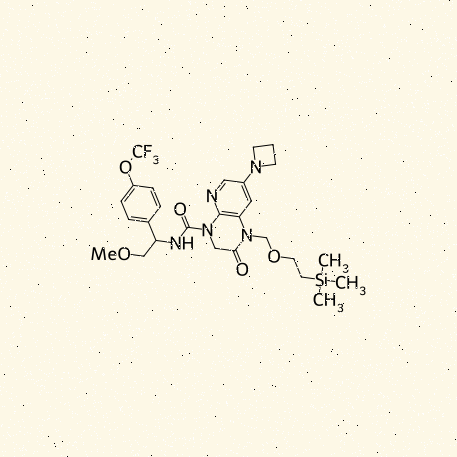 COCC(NC(=O)N1CC(=O)N(COCC[Si](C)(C)C)c2cc(N3CCC3)cnc21)c1ccc(OC(F)(F)F)cc1